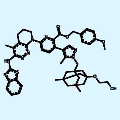 COc1ccc(COC(=O)c2nc(N3CCCc4c3nnc(Nc3nc5ccccc5s3)c4C)ccc2-c2cnn(CC34CC5(C)CC(C)(C3)CC(OCCO)(C5)C4)c2C)cc1